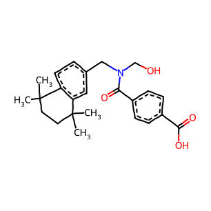 CC1(C)CCC(C)(C)c2cc(CN(CO)C(=O)c3ccc(C(=O)O)cc3)ccc21